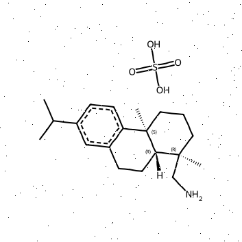 CC(C)c1ccc2c(c1)CC[C@H]1[C@](C)(CN)CCC[C@]21C.O=S(=O)(O)O